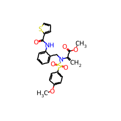 C=C(C(=O)OC)N(Cc1ccccc1NC(=O)c1cccs1)S(=O)(=O)c1ccc(OC)cc1